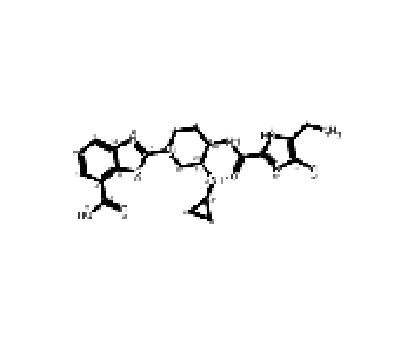 CCc1[nH]c(C(=O)N[C@@H]2CCN(c3nc4cccc(C(=O)O)c4s3)C[C@@H]2NC2CC2)nc1Cl